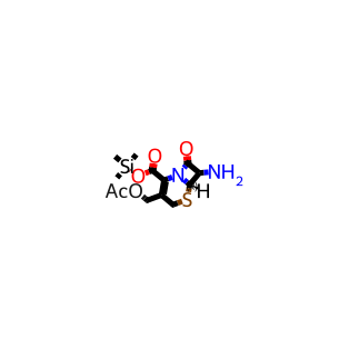 CC(=O)OCC1=C(C(=O)O[Si](C)(C)C)N2C(=O)C(N)[C@H]2SC1